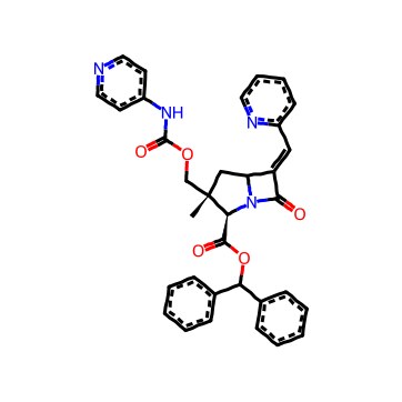 C[C@@]1(COC(=O)Nc2ccncc2)CC2/C(=C\c3ccccn3)C(=O)N2[C@H]1C(=O)OC(c1ccccc1)c1ccccc1